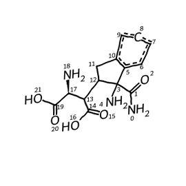 NC(=O)C1(N)c2ccccc2CC1C(C(=O)O)[C@H](N)C(=O)O